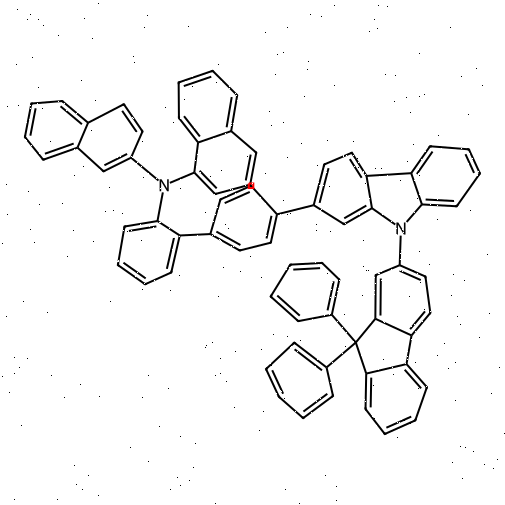 c1ccc(C2(c3ccccc3)c3ccccc3-c3ccc(-n4c5ccccc5c5ccc(-c6ccc(-c7ccccc7N(c7ccc8ccccc8c7)c7cccc8ccccc78)cc6)cc54)cc32)cc1